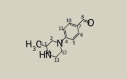 CC1CN(c2ccc(C=O)cc2)CCN1